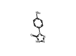 CC(C)(C)c1ccc(-n2nn[nH]c2=O)cc1